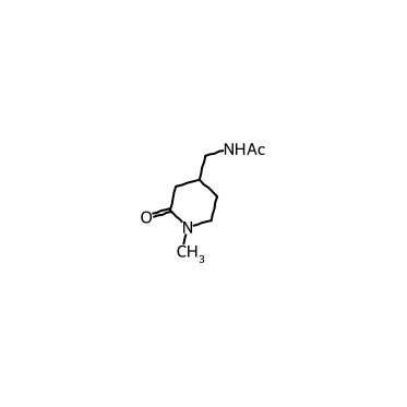 CC(=O)NCC1CCN(C)C(=O)C1